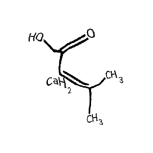 CC(C)=CC(=O)O.[CaH2]